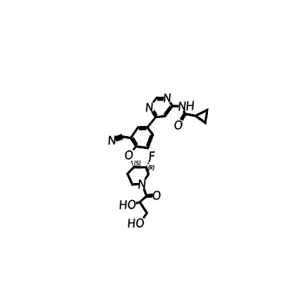 N#Cc1cc(-c2cc(NC(=O)C3CC3)ncn2)ccc1O[C@H]1CCN(C(=O)C(O)CO)C[C@H]1F